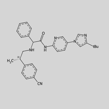 C[C@H](CNC(C(=O)Nc1ccc(-n2cnc(C(C)(C)C)c2)cn1)c1ccccc1)c1ccc(C#N)cc1